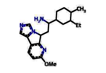 CCC1CC(C(N)CC2c3nc(OC)ccc3-c3cncn32)CCC1C